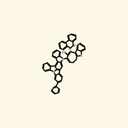 CCC1=C(\[C@@H]2c3ccccc3-c3ccccc3[C@@H]2C)c2c(sc3ccccc23)CC/C=C\1n1c2ccccc2c2c3c4ccccc4n4c5cc(-c6ccccc6)ccc5c(cc21)c34